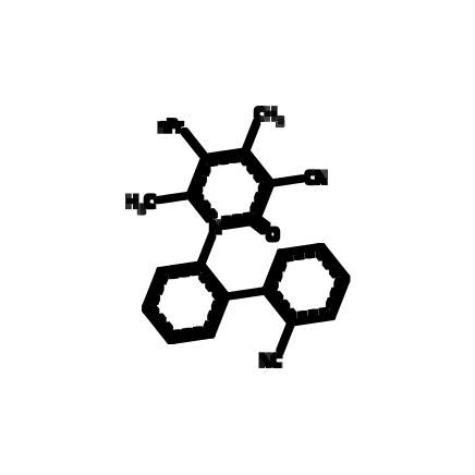 CCCc1c(C)c(C#N)c(=O)n(-c2ccccc2-c2ccccc2C#N)c1C